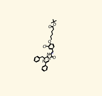 CC(C)(C)OC(=O)CCCCCOc1ccc(/C=C2\N=C3C(Cc4ccccc4)=NC(c4ccccc4)=CN3C2=O)cc1Cl